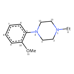 CCN1CCN(c2ccccc2OC)CC1